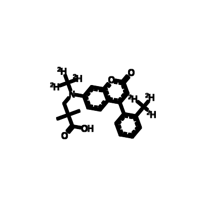 [2H]C([2H])([2H])c1ccccc1-c1cc(=O)oc2cc(N(CC(C)(C)C(=O)O)C([2H])([2H])[2H])ccc12